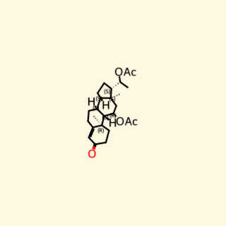 CC(=O)OC(C)[C@H]1CC[C@H]2[C@@H]3CCC4=CC(=O)CC[C@]4(C)[C@H]3[C@H](OC(C)=O)C[C@]12C